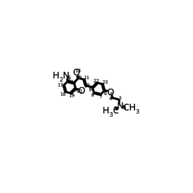 CN(C)CCOc1ccc(-c2cc(=O)c3c(N)cccc3o2)cc1